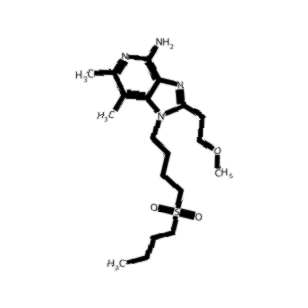 CCCCS(=O)(=O)CCCCn1c(CCOC)nc2c(N)nc(C)c(C)c21